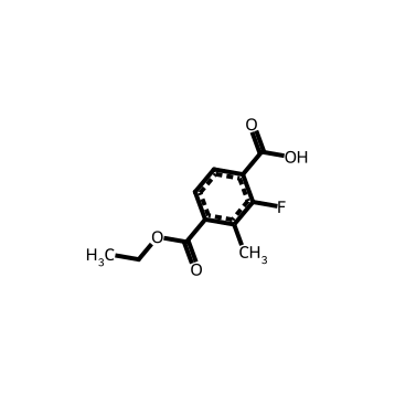 CCOC(=O)c1ccc(C(=O)O)c(F)c1C